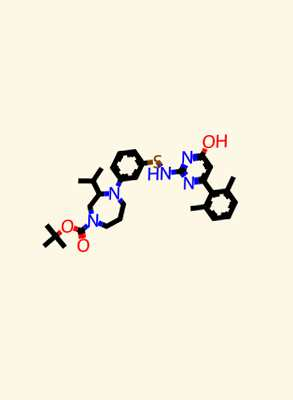 Cc1cccc(C)c1-c1cc(O)nc(NSc2cccc(N3CCCN(C(=O)OC(C)(C)C)CC3C(C)C)c2)n1